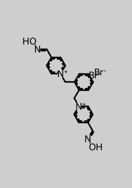 O/N=C/c1cc[n+](Cc2ccccc2C[n+]2ccc(/C=N/O)cc2)cc1.[Br-].[Br-]